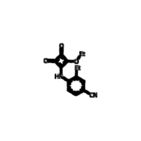 CCOc1c(Nc2ccc(C#N)cc2CC)c(=O)c1=O